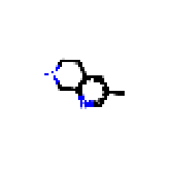 Cc1cnc2c(c1)CCNC2